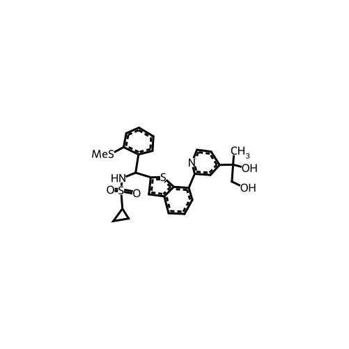 CSc1ccccc1C(NS(=O)(=O)C1CC1)c1cc2cccc(-c3cc(C(C)(O)CO)ccn3)c2s1